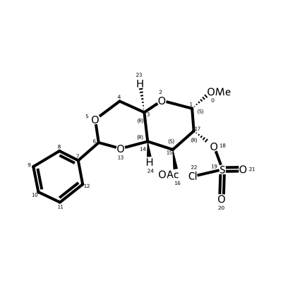 CO[C@H]1O[C@@H]2COC(c3ccccc3)O[C@H]2[C@H](OC(C)=O)[C@H]1OS(=O)(=O)Cl